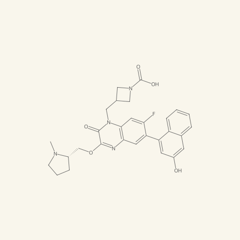 CN1CCC[C@H]1COc1nc2cc(-c3cc(O)cc4ccccc34)c(F)cc2n(CC2CN(C(=O)O)C2)c1=O